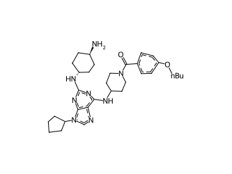 CCCCOc1ccc(C(=O)N2CCC(Nc3nc(N[C@H]4CC[C@H](N)CC4)nc4c3ncn4C3CCCC3)CC2)cc1